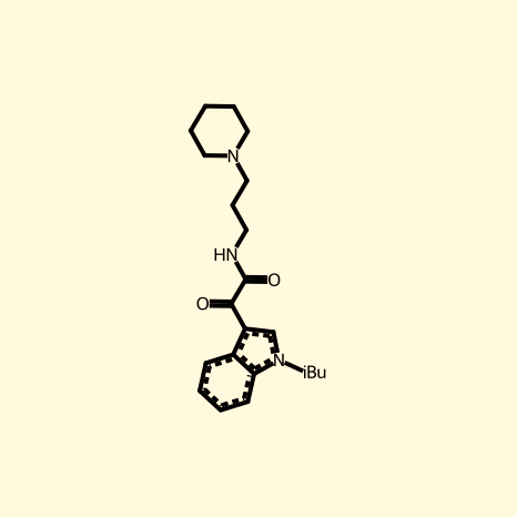 CCC(C)n1cc(C(=O)C(=O)NCCCN2CCCCC2)c2ccccc21